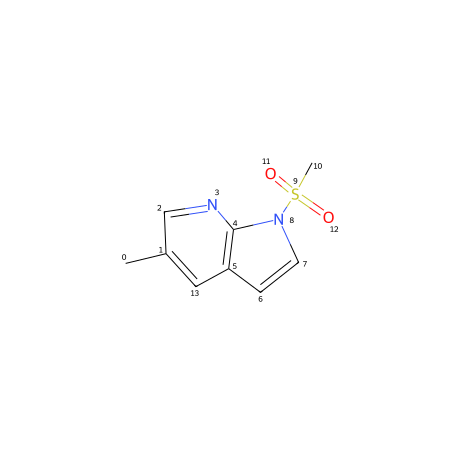 Cc1cnc2c(ccn2S(C)(=O)=O)c1